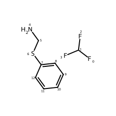 FC(F)F.NCSc1ccccc1